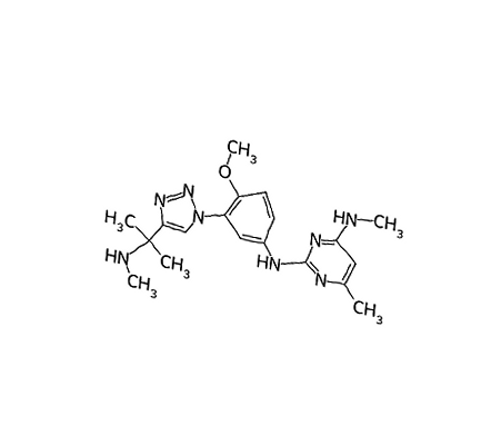 CNc1cc(C)nc(Nc2ccc(OC)c(-n3cc(C(C)(C)NC)nn3)c2)n1